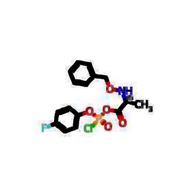 C[C@H](NOCc1ccccc1)C(=O)OP(=O)(Cl)Oc1ccc(F)cc1